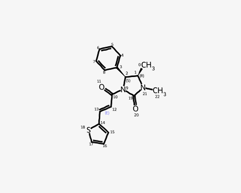 C[C@@H]1[C@H](c2ccccc2)N(C(=O)/C=C/c2cccs2)C(=O)N1C